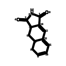 O=C1NC(=O)C2CC3CC=CC=C3C=C12